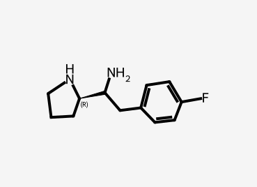 NC(Cc1ccc(F)cc1)[C@H]1CCCN1